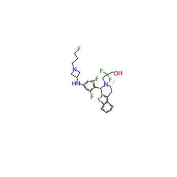 C[C@@H]1Cc2c(sc3ccccc23)[C@@H](c2c(F)cc(NC3CN(CCCF)C3)cc2F)N1CC(F)(F)CO